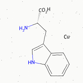 N[C@@H](Cc1c[nH]c2ccccc12)C(=O)O.[Cu]